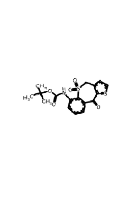 CC(C)(C)OC(=O)Nc1cccc2c1S(=O)(=O)Cc1ccsc1C2=O